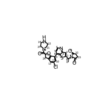 C[C@@H](c1cc2nccc(-c3cc(Cl)cc4c3OC(C(=O)N3CCNCC3)C4)c2s1)N1C(=O)CCC1=O